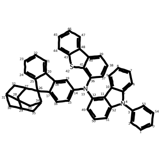 c1ccc(-n2c3ccccc3c3c(N(c4ccc5c(c4)-c4ccccc4C54C5CC6CC(C5)CC4C6)c4cccc5c4sc4ccccc45)cccc32)cc1